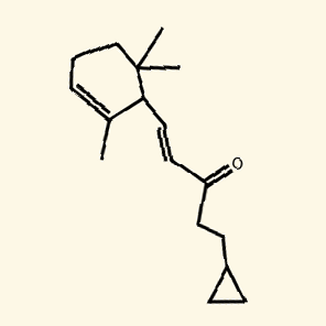 CC1=CCCC(C)(C)C1C=CC(=O)CCC1CC1